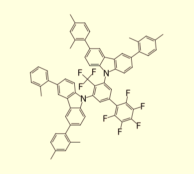 Cc1ccc(-c2ccc3c(c2)c2cc(-c4ccccc4C)ccc2n3-c2cc(-c3c(F)c(F)c(F)c(F)c3F)cc(-n3c4ccc(-c5ccc(C)cc5C)cc4c4cc(-c5ccc(C)cc5C)ccc43)c2C(F)(F)F)c(C)c1